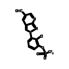 O=Cc1cnc2nn(-c3cccc(OS(=O)(=O)C(F)(F)F)c3Cl)cc2c1